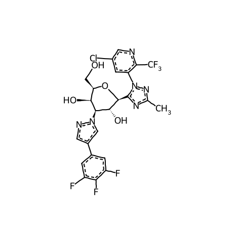 Cc1nc([C@@H]2O[C@H](CO)[C@H](O)[C@H](n3cc(-c4cc(F)c(F)c(F)c4)cn3)[C@H]2O)n(-c2cc(Cl)cnc2C(F)(F)F)n1